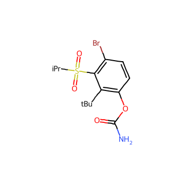 CC(C)S(=O)(=O)c1c(Br)ccc(OC(N)=O)c1C(C)(C)C